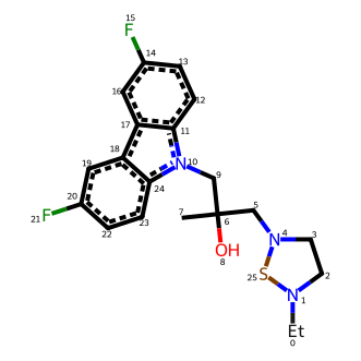 CCN1CCN(CC(C)(O)Cn2c3ccc(F)cc3c3cc(F)ccc32)S1